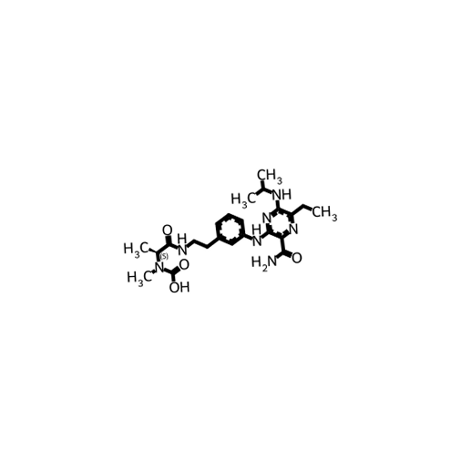 CCc1nc(C(N)=O)c(Nc2cccc(CCNC(=O)[C@H](C)N(C)C(=O)O)c2)nc1NC(C)C